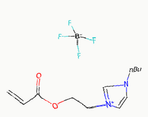 C=CC(=O)OCC[n+]1ccn(CCCC)c1.F[B-](F)(F)F